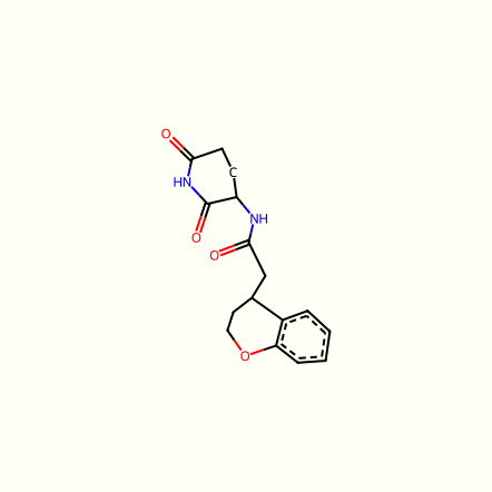 O=C1CCC(NC(=O)CC2CCOc3ccccc32)C(=O)N1